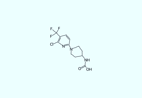 O=C(O)NC1CCN(c2ccc(C(F)(F)F)c(Cl)n2)CC1